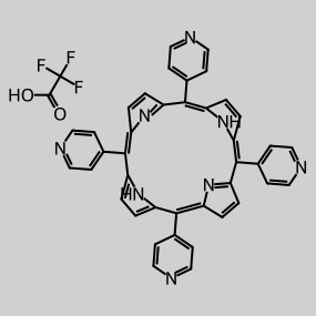 C1=Cc2nc1c(-c1ccncc1)c1ccc([nH]1)c(-c1ccncc1)c1nc(c(-c3ccncc3)c3ccc([nH]3)c2-c2ccncc2)C=C1.O=C(O)C(F)(F)F